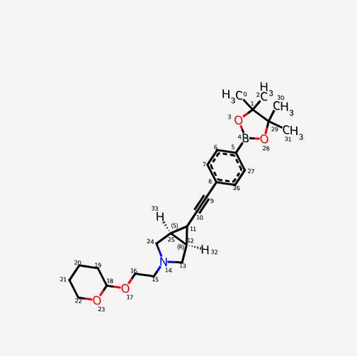 CC1(C)OB(c2ccc(C#CC3[C@H]4CN(CCOC5CCCCO5)C[C@@H]34)cc2)OC1(C)C